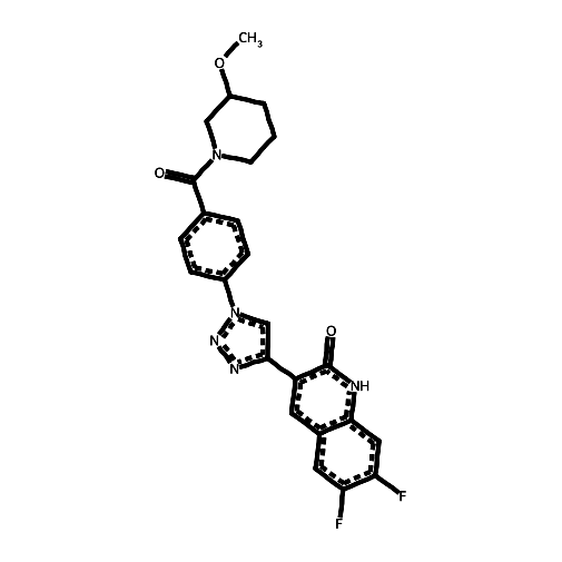 COC1CCCN(C(=O)c2ccc(-n3cc(-c4cc5cc(F)c(F)cc5[nH]c4=O)nn3)cc2)C1